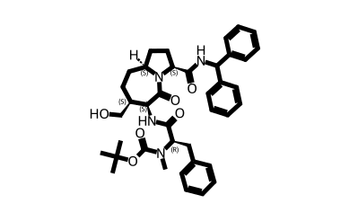 CN(C(=O)OC(C)(C)C)[C@H](Cc1ccccc1)C(=O)N[C@@H]1C(=O)N2[C@@H](CC[C@@H]1CO)CC[C@H]2C(=O)NC(c1ccccc1)c1ccccc1